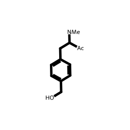 CNC(Cc1ccc(CO)cc1)C(C)=O